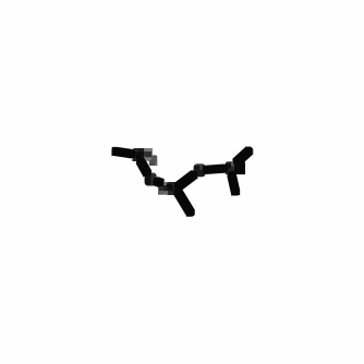 C[SiH2]O[SiH](C)O[SiH](C)C